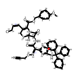 COc1ccc(COC(=O)C2=C(/C=C\CCl)CS[C@H]3[C@H](NC(=O)/C(=N\OCC#N)c4nsc(NC(c5ccccc5)(c5ccccc5)c5ccccc5)n4)C(=O)N23)cc1